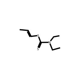 CC=CSC(=S)N(CC)CC